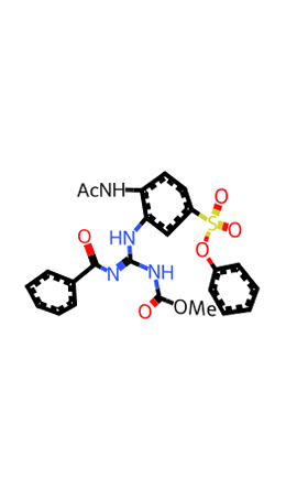 COC(=O)NC(=NC(=O)c1ccccc1)Nc1cc(S(=O)(=O)Oc2ccccc2)ccc1NC(C)=O